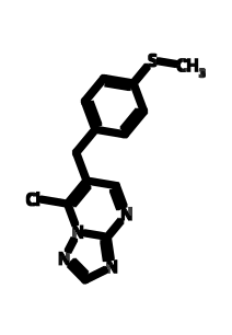 CSc1ccc(Cc2cnc3ncnn3c2Cl)cc1